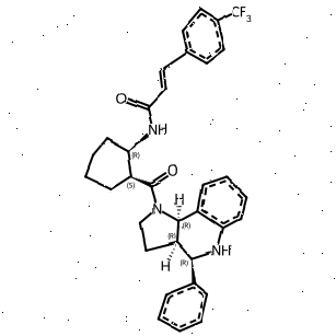 O=C(C=Cc1ccc(C(F)(F)F)cc1)N[C@@H]1CCCC[C@@H]1C(=O)N1CC[C@@H]2[C@H](c3ccccc3)Nc3ccccc3[C@@H]21